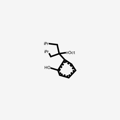 CCCCCCCCC(CC(C)C)(CC(C)C)c1ccccc1O